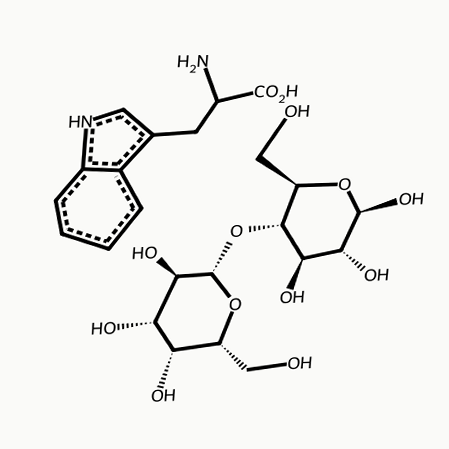 NC(Cc1c[nH]c2ccccc12)C(=O)O.OC[C@H]1O[C@@H](O[C@H]2[C@H](O)[C@@H](O)[C@H](O)O[C@@H]2CO)[C@H](O)[C@@H](O)[C@H]1O